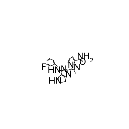 Cc1nc2c(C(N)=O)cccn2c1-c1nc2c(c(NCc3cccc(F)c3)n1)CNCC2